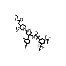 CCOC(=O)CC1CCN(c2cc(-c3ccc(F)cc3C)c(N(C)C(=O)C(C)(C)c3cc(C(F)(F)F)cc(C(F)(F)F)c3)cn2)CC1OC